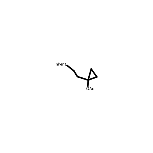 CCCCCCCC1(OC(C)=O)CC1